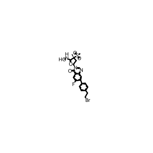 C[C@@](CCn1cnc2cc(-c3ccc(CCBr)cc3)c(F)cc2c1=O)(C(=O)NO)S(C)(=O)=O